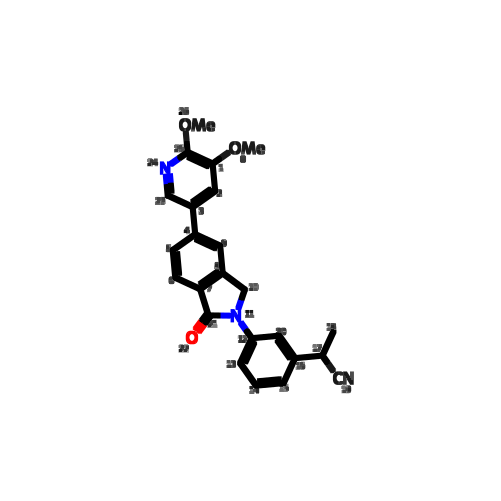 COc1cc(-c2ccc3c(c2)CN(c2cccc(C(C)C#N)c2)C3=O)cnc1OC